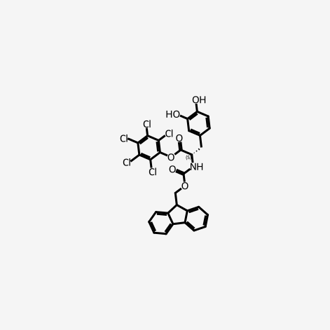 O=C(N[C@@H](Cc1ccc(O)c(O)c1)C(=O)Oc1c(Cl)c(Cl)c(Cl)c(Cl)c1Cl)OCC1c2ccccc2-c2ccccc21